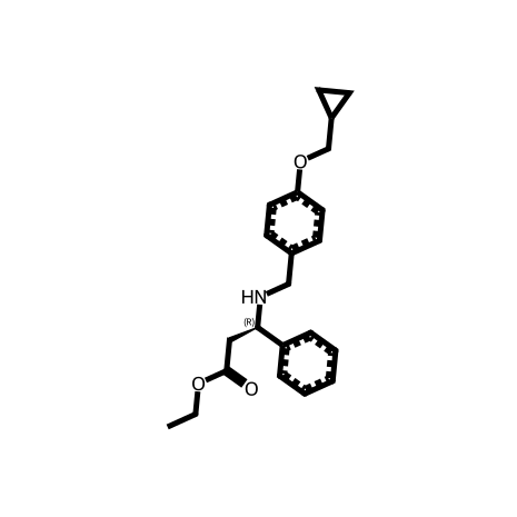 CCOC(=O)C[C@@H](NCc1ccc(OCC2CC2)cc1)c1ccccc1